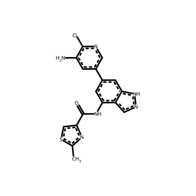 Cc1nc(C(=O)Nc2cc(-c3cnc(Cl)c(N)c3)cc3[nH]ncc23)cs1